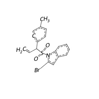 C=CC(c1ccc(C)cc1)S(=O)(=O)n1c(Br)cc2ccccc21